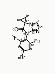 O=C1N(c2c(F)cc(Br)cc2F)c2nccn2C12CC2